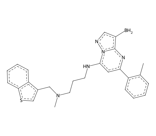 Bc1cnn2c(NCCCN(C)Cc3csc4ccccc34)cc(-c3ccccc3C)nc12